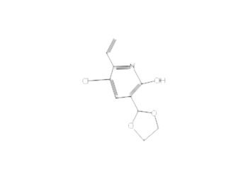 C=Cc1nc(O)c(C2OCCO2)cc1Cl